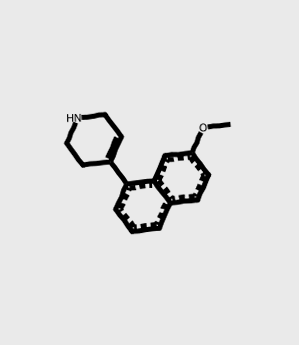 COc1ccc2cccc(C3=CCNCC3)c2c1